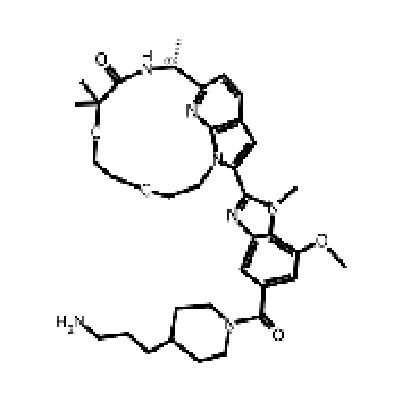 COc1cc(C(=O)N2CCC(CCCN)CC2)cc2nc(-c3cc4ccc5nc4n3CCCCCCC(C)(C)C(=O)N[C@@H]5C)n(C)c12